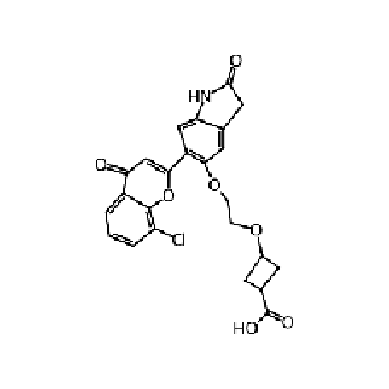 O=C1Cc2cc(OCCOC3CC(C(=O)O)C3)c(-c3cc(=O)c4cccc(Cl)c4o3)cc2N1